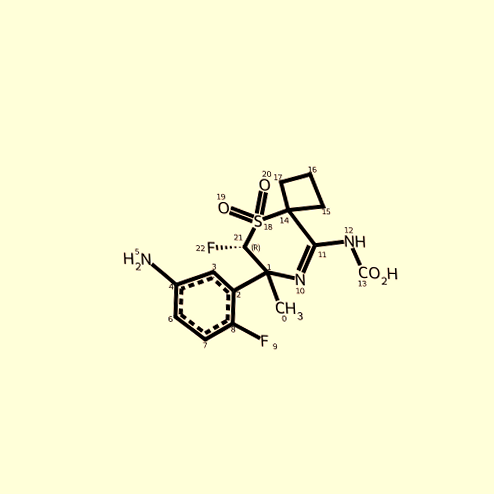 CC1(c2cc(N)ccc2F)N=C(NC(=O)O)C2(CCC2)S(=O)(=O)[C@H]1F